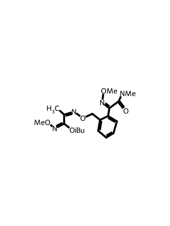 CNC(=O)C(=NOC)c1ccccc1CON=C(C)/C(=N\OC)OCC(C)C